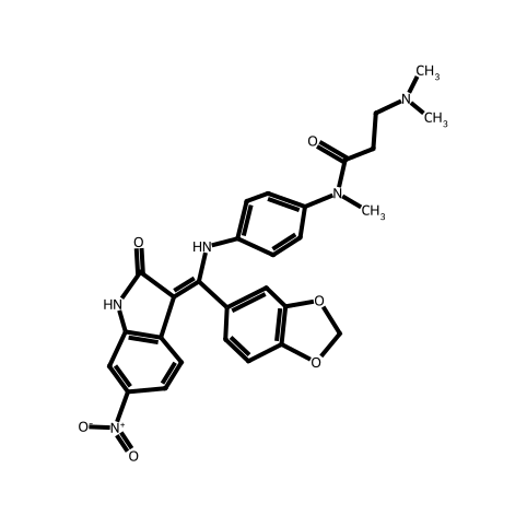 CN(C)CCC(=O)N(C)c1ccc(N/C(=C2\C(=O)Nc3cc([N+](=O)[O-])ccc32)c2ccc3c(c2)OCO3)cc1